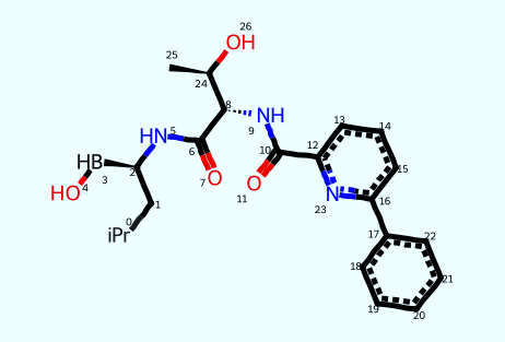 CC(C)C[C@@H](BO)NC(=O)[C@@H](NC(=O)c1cccc(-c2ccccc2)n1)[C@@H](C)O